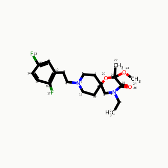 CCN1CC2(CCN(CCc3cc(F)ccc3F)CC2)OC(C)(OC)C1=O